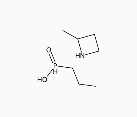 CC1CCN1.CCC[PH](=O)O